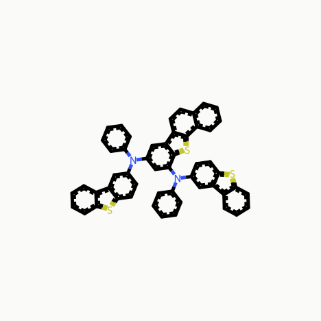 c1ccc(N(c2ccc3sc4ccccc4c3c2)c2cc(N(c3ccccc3)c3ccc4sc5ccccc5c4c3)c3sc4c5ccccc5ccc4c3c2)cc1